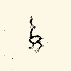 COc1cc(CNC=O)ccc1CN